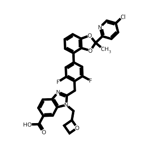 CC1(c2ccc(Cl)cn2)Oc2cccc(-c3cc(F)c(Cc4nc5ccc(C(=O)O)cc5n4CC4CCO4)c(F)c3)c2O1